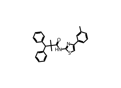 Cc1cccc(-c2csc(NC(=O)C(C)(C)C(c3ccccc3)c3ccccc3)n2)c1